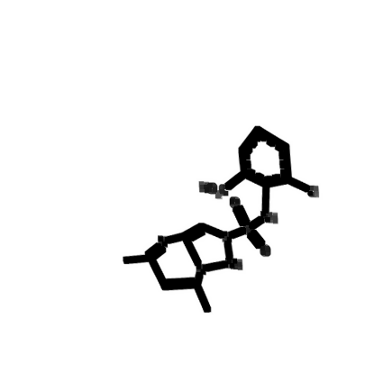 CC1=CC(C)=NC2=CN(S(=O)(=O)Nc3c(Cl)cccc3C(=O)O)NN12